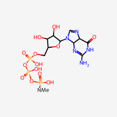 CNP(=O)(O)OP(=O)(O)OP(=O)(O)OCC1OC(N2C=NC3C(=O)NC(N)=NC32)C(O)C1O